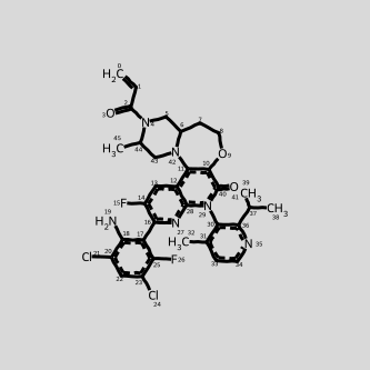 C=CC(=O)N1CC2CCOc3c(c4cc(F)c(-c5c(N)c(Cl)cc(Cl)c5F)nc4n(-c4c(C)ccnc4C(C)C)c3=O)N2CC1C